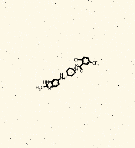 Cc1nc2ccc(NC[C@H]3CC[C@H](NC(=O)c4cc(C(F)(F)F)ccc4Cl)CC3)cc2[nH]1